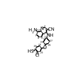 N#Cc1cnc2c(N)cccc2c1Nc1ccc(Oc2ccc(S)c(Cl)c2)cc1